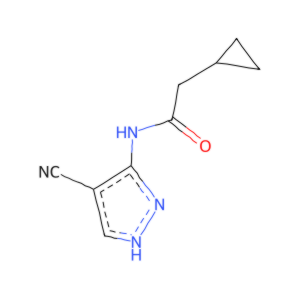 N#Cc1c[nH]nc1NC(=O)CC1CC1